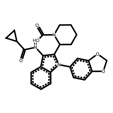 O=C(Nc1c(C2CCCCN2C(=O)O)n(-c2ccc3c(c2)OCO3)c2ccccc12)C1CC1